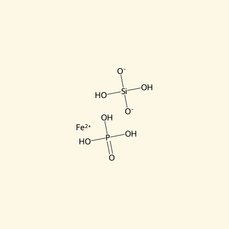 O=P(O)(O)O.[Fe+2].[O-][Si]([O-])(O)O